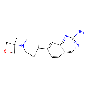 CC1(N2CCC(c3ccc4cnc(N)nc4c3)CC2)COC1